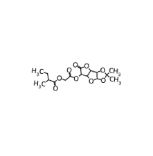 CCC(C)C(=O)OCC(=O)OC1C(=O)OC2C3OC(C)(C)OC3OC12